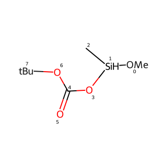 CO[SiH](C)OC(=O)OC(C)(C)C